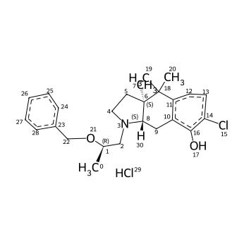 C[C@H](CN1CC[C@]2(C)[C@@H]1Cc1c(ccc(Cl)c1O)C2(C)C)OCc1ccccc1.Cl